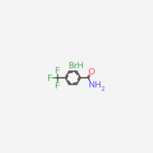 Br.NC(=O)c1ccc(C(F)(F)F)cc1